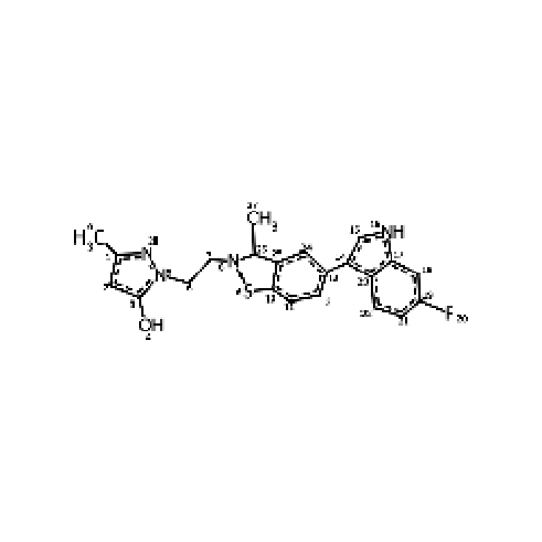 Cc1cc(O)n(CCN2Sc3ccc(-c4c[nH]c5cc(F)ccc45)cc3C2C)n1